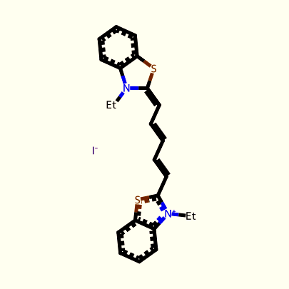 CCN1\C(=C/C=C/C=C/c2sc3ccccc3[n+]2CC)Sc2ccccc21.[I-]